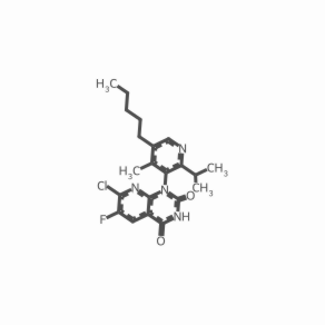 CCCCCc1cnc(C(C)C)c(-n2c(=O)[nH]c(=O)c3cc(F)c(Cl)nc32)c1C